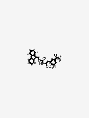 CN(C)C(=O)c1cccc(C[C@H](NC(=O)OCC2c3ccccc3-c3ccccc32)C(=O)O)c1